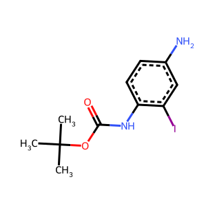 CC(C)(C)OC(=O)Nc1ccc(N)cc1I